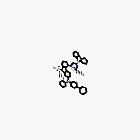 C=C/C=C(\C=C(/C)c1cccc2c1-c1ccc(N(c3ccccc3)c3ccc(C4=CC=CC=CC4)cc3)cc1C2(C)C)n1c2ccccc2c2ccccc21